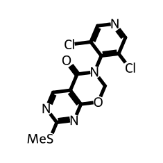 CSc1ncc2c(n1)OCN(c1c(Cl)cncc1Cl)C2=O